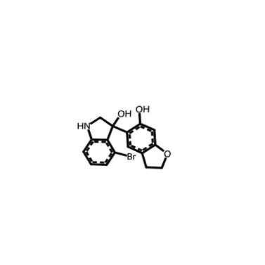 Oc1cc2c(cc1C1(O)CNc3cccc(Br)c31)CCO2